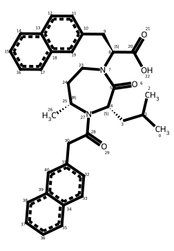 CC(C)C[C@H]1C(=O)N([C@@H](Cc2ccc3ccccc3c2)C(=O)O)CC[C@@H](C)N1C(=O)Cc1ccc2ccccc2c1